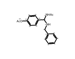 CC(=O)NC(NCc1ccccc1)c1ccc(OC(C)=O)cc1